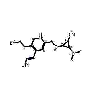 CC(C)/C=C/C1=C(CCBr)CNC(COC2C(C#N)C2N(C)C)=C1